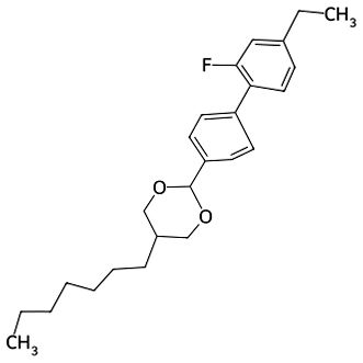 CCCCCCCC1COC(c2ccc(-c3ccc(CC)cc3F)cc2)OC1